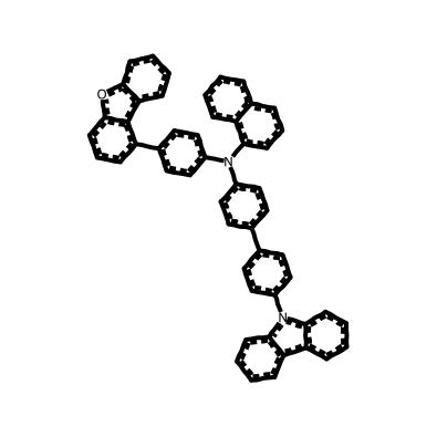 c1ccc2c(N(c3ccc(-c4ccc(-n5c6ccccc6c6ccccc65)cc4)cc3)c3ccc(-c4cccc5oc6ccccc6c45)cc3)cccc2c1